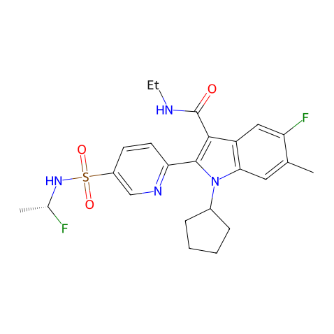 CCNC(=O)c1c(-c2ccc(S(=O)(=O)N[C@@H](C)F)cn2)n(C2CCCC2)c2cc(C)c(F)cc12